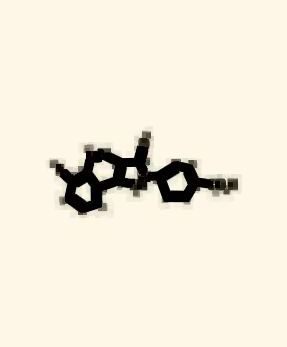 O=C(O)c1ccc(-n2[nH]c3c(nnc4c(F)cccc43)c2=O)cc1